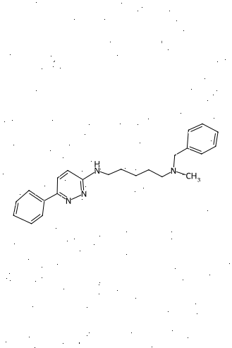 CN(CCCCCNc1ccc(-c2ccccc2)nn1)Cc1ccccc1